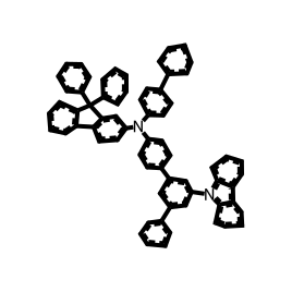 c1ccc(-c2ccc(N(c3ccc(-c4cc(-c5ccccc5)cc(-n5c6ccccc6c6ccccc65)c4)cc3)c3ccc4c(c3)C(c3ccccc3)(c3ccccc3)c3ccccc3-4)cc2)cc1